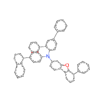 c1ccc(-c2ccc(N(c3ccc(-c4cccc5ccccc45)cc3)c3ccc4c(c3)oc3c(-c5ccccc5)cccc34)c(-c3ccccc3)c2)cc1